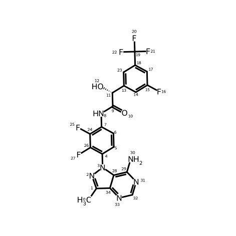 Cc1nn(-c2ccc(NC(=O)[C@H](O)c3cc(F)cc(C(F)(F)F)c3)c(F)c2F)c2c(N)ncnc12